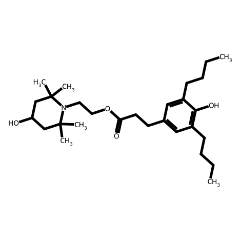 CCCCc1cc(CCC(=O)OCCN2C(C)(C)CC(O)CC2(C)C)cc(CCCC)c1O